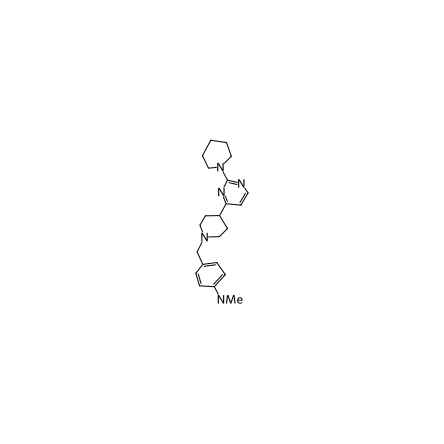 CNc1ccc(CN2CCC(c3ccnc(N4CCCCC4)n3)CC2)cc1